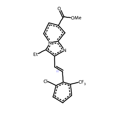 CCc1c(/C=C/c2c(Cl)cccc2C(F)(F)F)nc2cc(C(=O)OC)ccn12